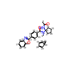 CC(=O)NC1(N(C)C(=O)c2ccc(-c3nc4ccccc4o3)cc2)CCCC1.c1cc2cc-2c1